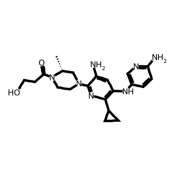 C[C@@H]1CN(c2nc(C3CC3)c(Nc3ccc(N)nc3)cc2N)CCN1C(=O)CCO